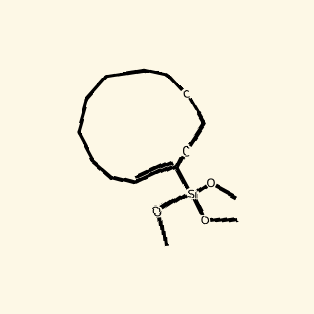 CO[Si](OC)(OC)C1=CCCCCCCCCCC1